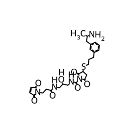 CC(N)Cc1cccc(CCCSC2CC(=O)N(C(=O)NCC(O)CNC(=O)CCN3C(=O)C=CC3=O)C2=O)c1